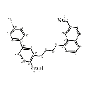 COc1ccc2cccc(CCCCc3cc(-c4ccc(F)cc4)ccc3C(=O)O)c2c1